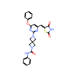 O=C1NC(=O)C(=Cc2cc(Oc3ccccc3)nc(N3CC4(CN(C(=O)Nc5ccccc5)C4)C3)n2)S1